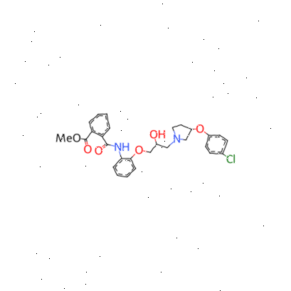 COC(=O)c1ccccc1C(=O)Nc1ccccc1OCC(O)CN1CCC(Oc2ccc(Cl)cc2)C1